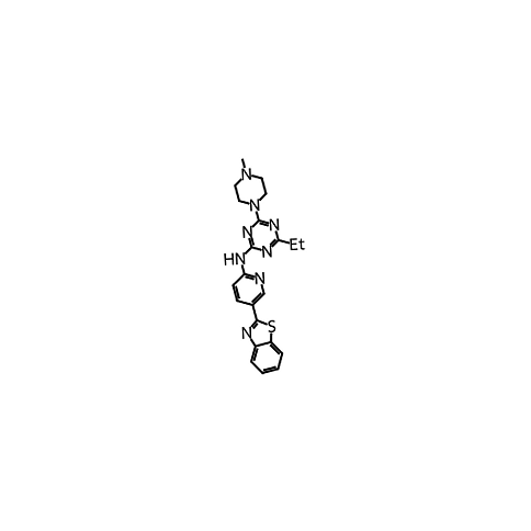 CCc1nc(Nc2ccc(-c3nc4ccccc4s3)cn2)nc(N2CCN(C)CC2)n1